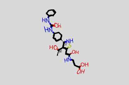 C[C@@H](O)C1C(CC(O)NCCC(O)O)SN[C@H]1C1CCC(NC(O)NC2=CC=CCC2)CC1